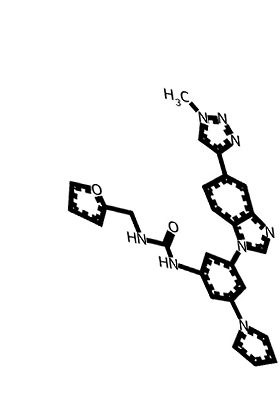 Cn1cc(-c2ccc3c(c2)ncn3-c2cc(NC(=O)NCc3ccco3)cc(-n3cccc3)c2)nn1